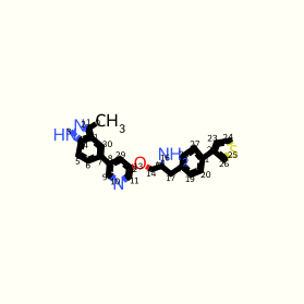 Cc1n[nH]c2ccc(-c3cncc(OC[C@@H](N)Cc4ccc(-c5ccsc5)cc4)c3)cc12